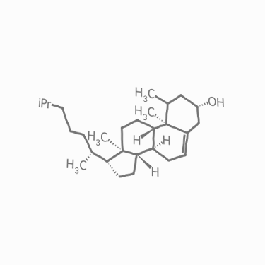 CC(C)CCC[C@@H](C)[C@H]1CC[C@H]2[C@@H]3CC=C4C[C@@H](O)CC(C)[C@]4(C)[C@H]3CC[C@]12C